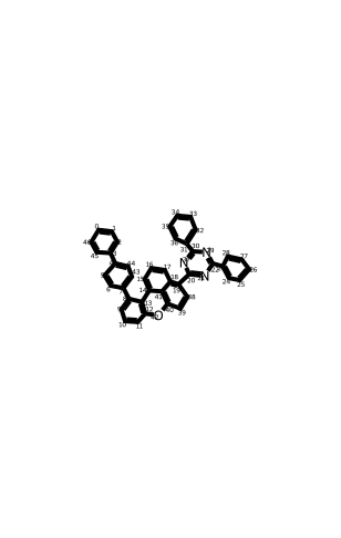 c1ccc(-c2ccc(-c3cccc4c3-c3cccc5c(-c6nc(-c7ccccc7)nc(-c7ccccc7)n6)ccc(c35)O4)cc2)cc1